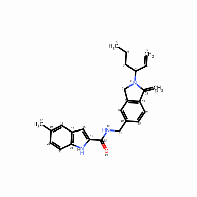 C=CC(CCC)N1Cc2cc(CNC(=O)c3cc4cc(C)ccc4[nH]3)ccc2C1=C